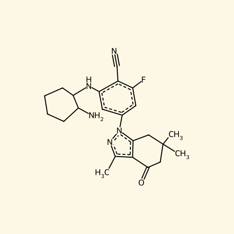 Cc1nn(-c2cc(F)c(C#N)c(NC3CCCCC3N)c2)c2c1C(=O)CC(C)(C)C2